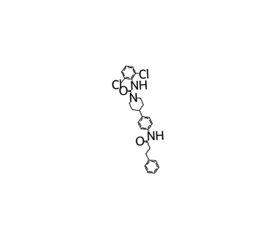 O=C(CCc1ccccc1)Nc1ccc(C2CCN(C(=O)Nc3c(Cl)cccc3Cl)CC2)cc1